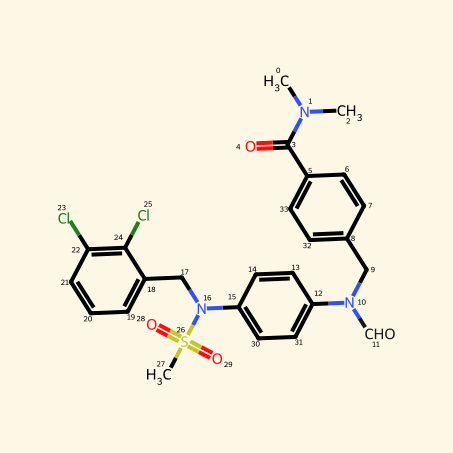 CN(C)C(=O)c1ccc(CN(C=O)c2ccc(N(Cc3cccc(Cl)c3Cl)S(C)(=O)=O)cc2)cc1